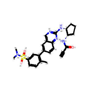 C#CC(=O)N[C@H]1CCC[C@H]1Nc1ncc2cc(-c3cc(S(=O)(=O)N(C)C)ccc3C)ccc2n1